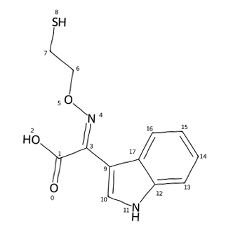 O=C(O)C(=NOCCS)c1c[nH]c2ccccc12